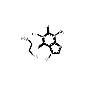 Cn1c(=O)c2c(ncn2C)n(C)c1=O.NCCS(=O)(=O)O